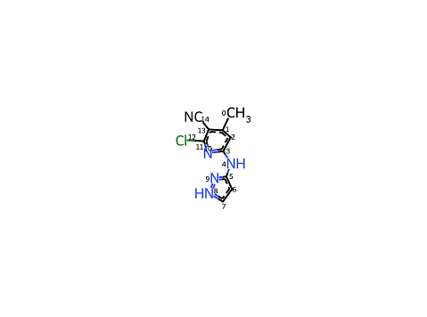 Cc1cc(Nc2cc[nH]n2)nc(Cl)c1C#N